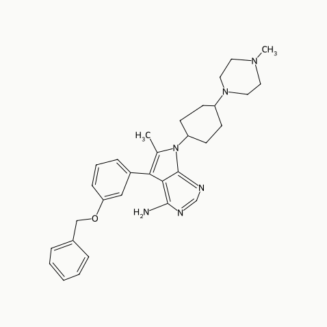 Cc1c(-c2cccc(OCc3ccccc3)c2)c2c(N)ncnc2n1C1CCC(N2CCN(C)CC2)CC1